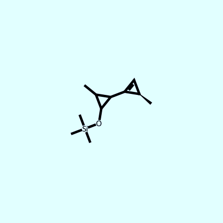 CC1C(O[Si](C)(C)C)C1C1=C[C@H]1C